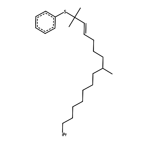 CC(C)CCCCCCCC(C)CCCC=CC(C)(C)Sc1ccccc1